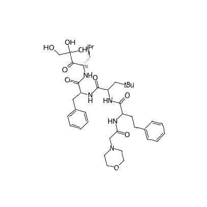 CC(C)C[C@H](NC(=O)C(Cc1ccccc1)NC(=O)C(CC(C)(C)C)NC(=O)C(CCc1ccccc1)NC(=O)CN1CCOCC1)C(=O)C(C)(O)CO